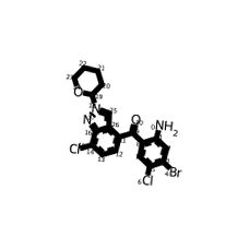 Nc1cc(Br)c(Cl)cc1C(=O)c1ccc(Cl)c2nn(C3CCCCO3)cc12